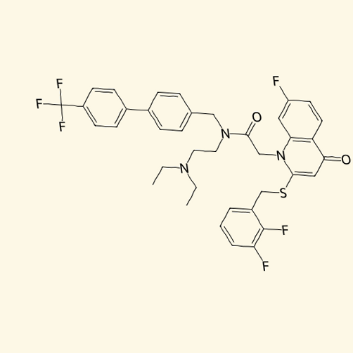 CCN(CC)CCN(Cc1ccc(-c2ccc(C(F)(F)F)cc2)cc1)C(=O)Cn1c(SCc2cccc(F)c2F)cc(=O)c2ccc(F)cc21